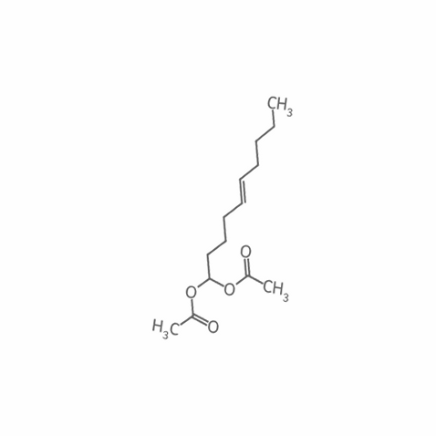 CCCCC=CCCCC(OC(C)=O)OC(C)=O